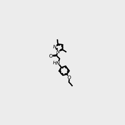 CCOc1ccc(NCC(=O)n2nc(C)cc2C)cc1